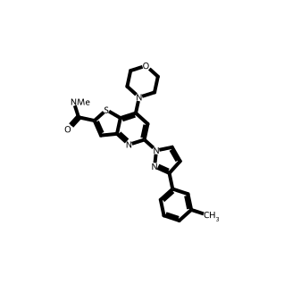 CNC(=O)c1cc2nc(-n3ccc(-c4cccc(C)c4)n3)cc(N3CCOCC3)c2s1